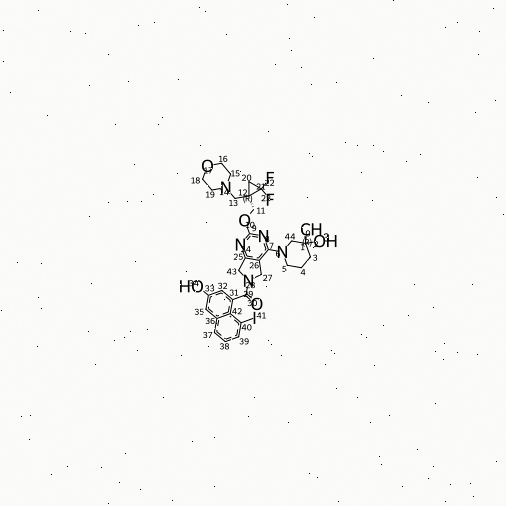 C[C@@]1(O)CCCN(c2nc(OC[C@]3(CN4CCOCC4)CC3(F)F)nc3c2CN(C(=O)c2cc(O)cc4cccc(I)c24)C3)C1